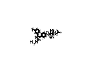 CC(C)Cn1cnc2c(Oc3ccc(-c4sc(N)nc4-c4cccc(F)c4)cc3)ncnc21